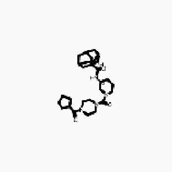 O=C(C1CCCC1)N1CCN(C(=O)N2CCC[C@H](NC(=O)C34CC5CC(C3)C(O)C(C5)C4)C2)CC1